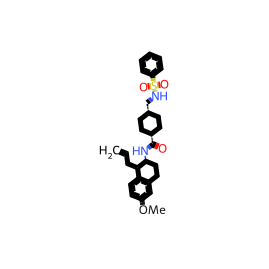 C=CCC1c2ccc(OC)cc2CC[C@H]1NC(=O)[C@H]1CC[C@@H](CNS(=O)(=O)c2ccccc2)CC1